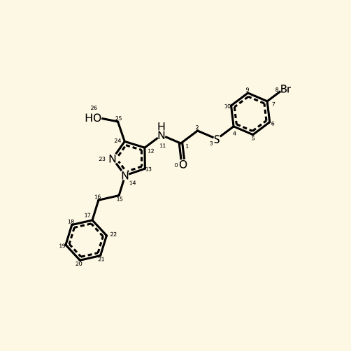 O=C(CSc1ccc(Br)cc1)Nc1cn(CCc2ccccc2)nc1CO